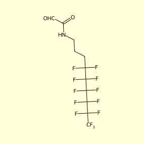 O=CC(=O)NCCCC(F)(F)C(F)(F)C(F)(F)C(F)(F)C(F)(F)C(F)(F)F